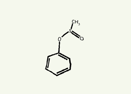 CS(=O)Oc1ccccc1